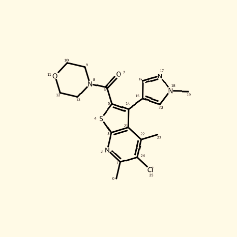 Cc1nc2sc(C(=O)N3CCOCC3)c(-c3cnn(C)c3)c2c(C)c1Cl